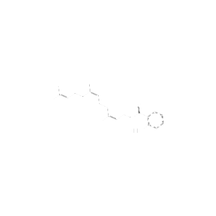 CC(C)=CCCC(C)=CCCC(C)=CCSC(=O)c1ccccc1O